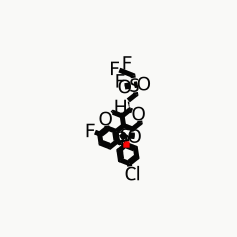 O=S(=O)(CC[C@@H]1OCC[C@@]2(S(=O)(=O)c3ccc(Cl)cc3)c3c(F)ccc(F)c3OC[C@@H]12)CC(F)(F)F